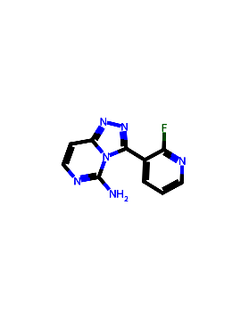 Nc1nccc2nnc(-c3cccnc3F)n12